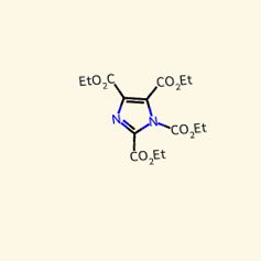 CCOC(=O)c1nc(C(=O)OCC)n(C(=O)OCC)c1C(=O)OCC